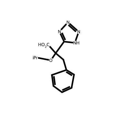 CC(C)OC(Cc1ccccc1)(C(=O)O)c1nnn[nH]1